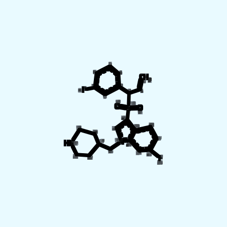 C=CC(c1cccc(F)c1)S(=O)(=O)c1cn(CC2CCNCC2)c2cc(F)ccc12